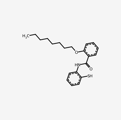 CCCCCCCCOc1ccccc1C(=O)Nc1ccccc1S